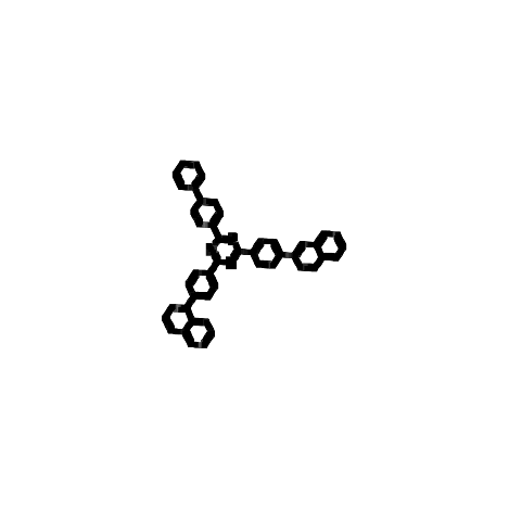 c1ccc(-c2ccc(-c3nc(-c4ccc(-c5cccc6ccccc56)cc4)nc(-c4ccc(-c5ccc6ccccc6c5)cc4)p3)cc2)cc1